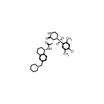 Cc1cc(S(=O)(=O)N2CCNC(=O)[C@H]2CC(=O)N[C@@H]2CCCc3cc(CN4CCCCC4)ccc32)c(C)cc1Cl